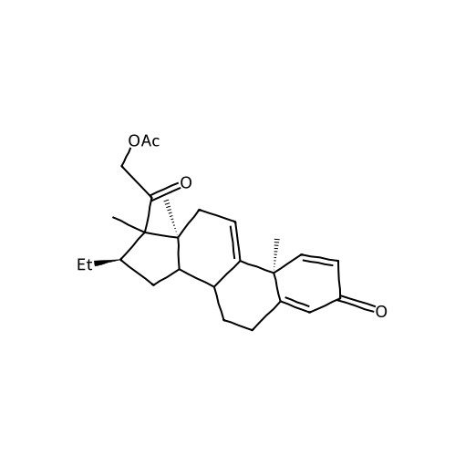 CC[C@@H]1CC2C3CCC4=CC(=O)C=C[C@]4(C)C3=CC[C@]2(C)C1(C)C(=O)COC(C)=O